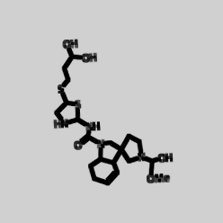 COC(O)N1CCC2(C1)CN(C(=O)NC1NCC(SCCC(O)O)S1)C1CCC=CC12